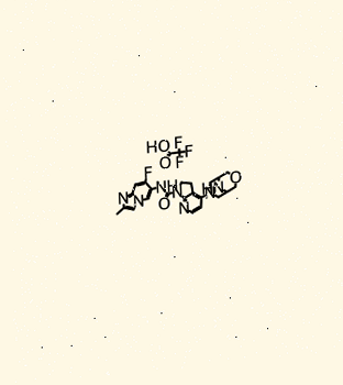 Cc1cn2cc(NC(=O)N3CCc4c(N5CC6COCC(C5)N6)ccnc43)c(F)cc2n1.O=C(O)C(F)(F)F